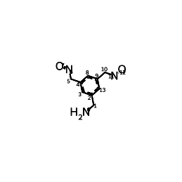 NCc1cc(CN=O)cc(CN=O)c1